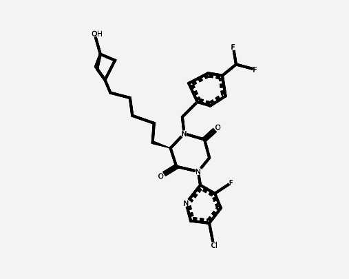 O=C1[C@@H](CCCCCC23CC(O)(C2)C3)N(Cc2ccc(C(F)F)cc2)C(=O)CN1c1ncc(Cl)cc1F